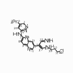 CC(C)c1cnnc(Nc2ccc3ncc(/C(C=N)=C/NCCCCl)cc3n2)c1